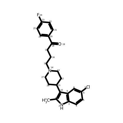 Cc1[nH]c2ccc(Cl)cc2c1C1CCN(CCCC(=O)c2ccc(F)cc2)CC1